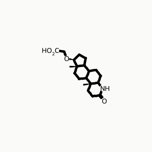 C[C@]12CCC(=O)NC1CCC1C2CC[C@@]2(C)C1CC[C@@H]2OCC(=O)O